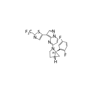 Fc1ccc(F)c([C@@]23C[C@@H]2CCN3c2ccn3ncc(-c4cnc(C(F)(F)F)s4)c3n2)c1